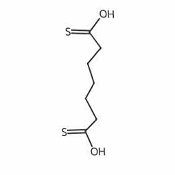 OC(=S)CCCCCC(O)=S